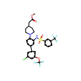 COC(=O)CC1CCN(c2ccc(-c3cc(Cl)cc(OC(F)(F)F)c3)cc2NS(=O)(=O)c2cccc(C(F)(F)F)c2)CC1